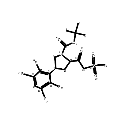 CC(C)(C)OC(=O)N1C[C@H](c2c(F)c(F)cc(F)c2F)CC1C(=O)CS(C)(=O)=O